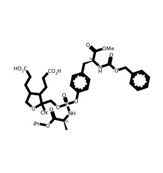 COC(=O)[C@H](Cc1ccc(OP(=O)(N[C@@H](C)C(=O)OC(C)C)OCC2(C#N)OCC(CCC(=O)O)C2CCC(=O)O)cc1)NC(=O)OCc1ccccc1